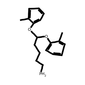 Cc1ccccc1OC(CCCCP)Oc1ccccc1C